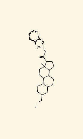 COCC1CCC2C(CCC3C2CCC2(C)C(C(=O)Cn4cc5ncccc5n4)CCC32)C1